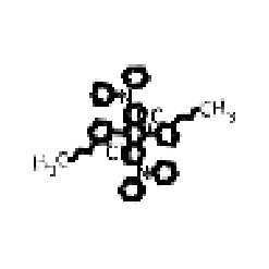 CCCCc1cccc(-c2c3ccc(N(c4ccccc4)c4ccccc4)cc3c(-c3cccc(CCCC)c3C)c3ccc(N(c4ccccc4)c4ccccc4)cc23)c1C